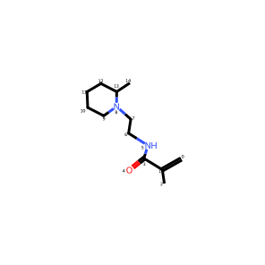 C=C(C)C(=O)NCCN1CCCCC1C